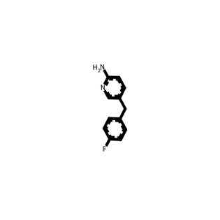 Nc1ccc(Cc2ccc(F)cc2)cn1